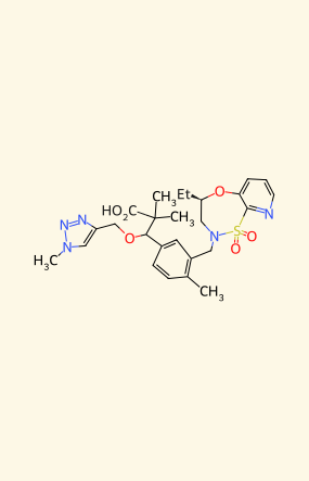 CC[C@@H]1CN(Cc2cc(C(OCc3cn(C)nn3)C(C)(C)C(=O)O)ccc2C)S(=O)(=O)c2ncccc2O1